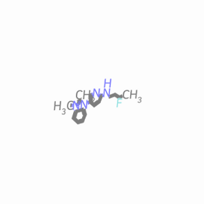 C=C1N(C)c2ccccc2N1c1ccc(NCCC(C)F)nc1